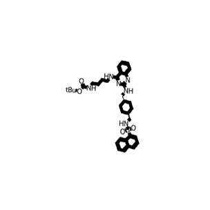 CC(C)(C)OC(=O)NCCCCNc1nc(NC[C@H]2CC[C@H](CNS(=O)(=O)c3cccc4ccccc34)CC2)nc2ccccc12